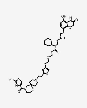 CC(C)c1nc(C(=O)N2CCOC3(CCN(CCc4cc(CCOCCC(=O)N(CCNCCc5ccc(O)c6c5OCC(=O)N6)C5CCCCC5)cs4)CC3)C2)cs1